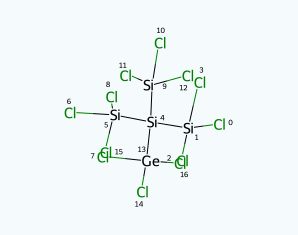 Cl[Si](Cl)(Cl)[Si]([Si](Cl)(Cl)Cl)([Si](Cl)(Cl)Cl)[Ge]([Cl])([Cl])[Cl]